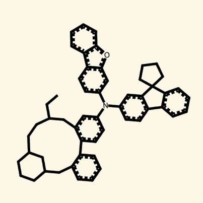 CCC1CCC2CCCC(Cc3ccccc3-c3ccc(N(c4ccc5c(c4)C4(CCCC4)c4ccccc4-5)c4ccc5c(c4)oc4ccccc45)cc3C1)C2